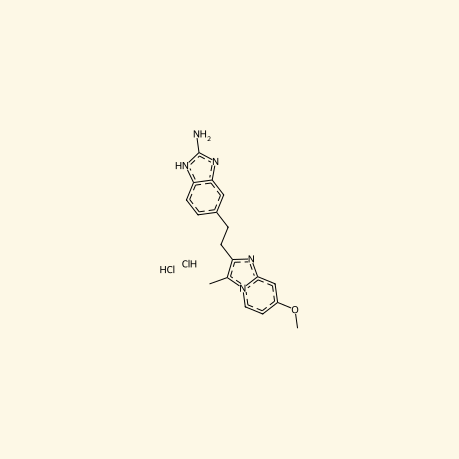 COc1ccn2c(C)c(CCc3ccc4[nH]c(N)nc4c3)nc2c1.Cl.Cl